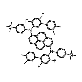 Cc1ccc(-c2cc(N(c3ccc([Si](C)(C)C)cc3)c3ccc4ccc5c(N(c6ccc([Si](C)(C)C)cc6)c6cc(-c7ccc(C)c(C)c7)c(F)cc6F)ccc6ccc3c4c65)c(F)cc2F)cc1C